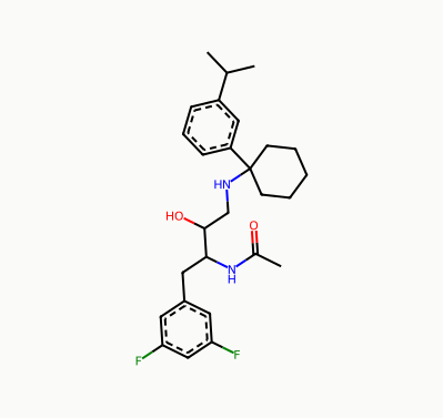 CC(=O)NC(Cc1cc(F)cc(F)c1)C(O)CNC1(c2cccc(C(C)C)c2)CCCCC1